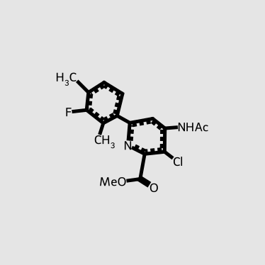 COC(=O)c1nc(-c2ccc(C)c(F)c2C)cc(NC(C)=O)c1Cl